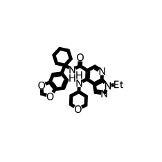 CCn1ncc2c(NC3CCOCC3)c(C(=O)NC3(c4ccc5c(c4)OCO5)CCCCC3)cnc21